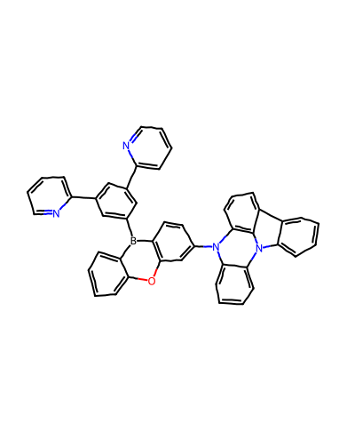 c1ccc(-c2cc(B3c4ccccc4Oc4cc(N5c6ccccc6-n6c7ccccc7c7cccc5c76)ccc43)cc(-c3ccccn3)c2)nc1